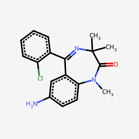 CN1C(=O)C(C)(C)N=C(c2ccccc2Cl)c2cc(N)ccc21